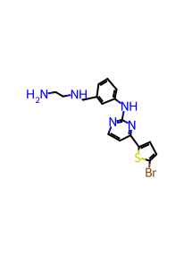 NCCNCc1cccc(Nc2nccc(-c3ccc(Br)s3)n2)c1